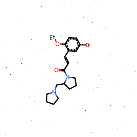 CCOc1ccc(Br)cc1C=CC(=O)N1CCCC1CN1CCCC1